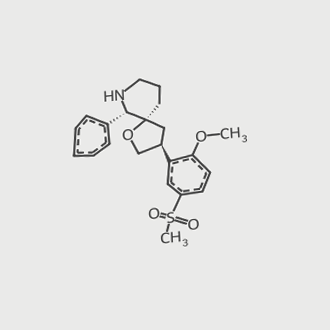 COc1ccc(S(C)(=O)=O)cc1[C@H]1CO[C@]2(CCCN[C@H]2c2ccccc2)C1